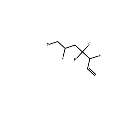 C=CC(F)C(F)(F)CC(F)CF